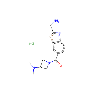 CN(C)C1CN(C(=O)c2ccc3nc(CN)sc3c2)C1.Cl